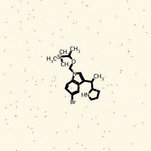 CC(c1cn(COC(C)[Si](C)(C)C)c2ccc(Br)cc12)C1CCCN1